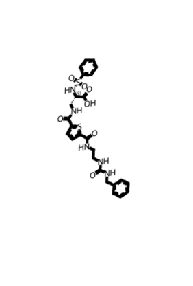 O=C(NCCNC(=O)c1ccc(C(=O)NC[C@H](NS(=O)(=O)c2ccccc2)C(=O)O)s1)NCc1ccccc1